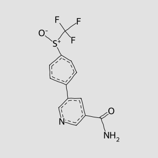 NC(=O)c1cncc(-c2ccc([S+]([O-])C(F)(F)F)cc2)c1